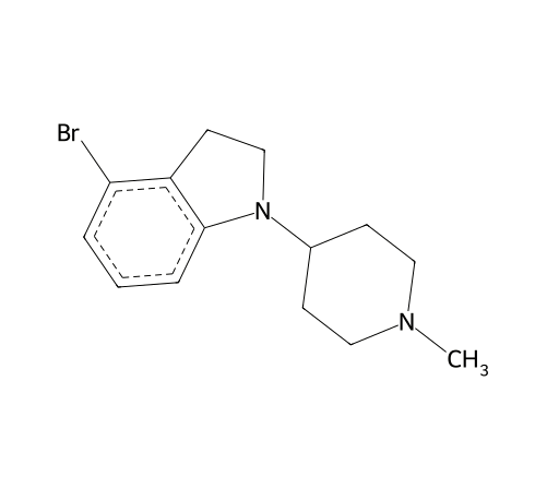 CN1CCC(N2CCc3c(Br)cccc32)CC1